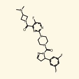 CN(C)C1CN(C(=O)c2nc(N3CCN(C(=O)N4N=CCC4c4cc(F)cc(F)c4)CC3)ncc2F)C1